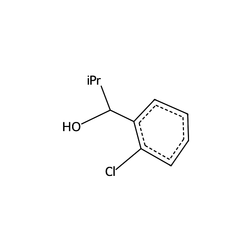 CC(C)C(O)c1ccccc1Cl